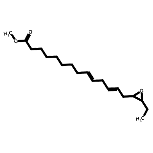 CCC1OC1CC=CCC=CCCCCCCCC(=O)OC